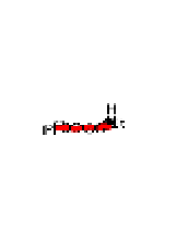 CCNc1ccc(OCCCOCCCCOCCCOCC(=O)C(C)C)cc1